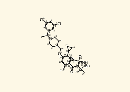 C[C@@H](c1cc(Cl)cc(Cl)c1)N1CCC(COc2cc(F)c(C(=O)N(S(C)(C)C(C)(C)C)S(=N)(=O)C3CC3)cc2C2CC2)CC1